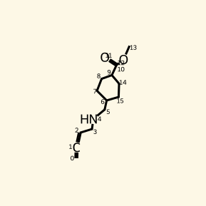 C=C=CCNCC1CCC(C(=O)OC)CC1